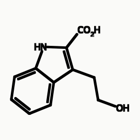 O=C(O)c1[nH]c2ccccc2c1CCO